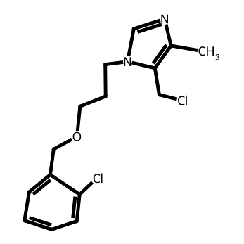 Cc1ncn(CCCOCc2ccccc2Cl)c1CCl